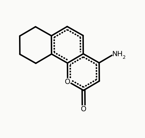 Nc1cc(=O)oc2c3c(ccc12)CCCC3